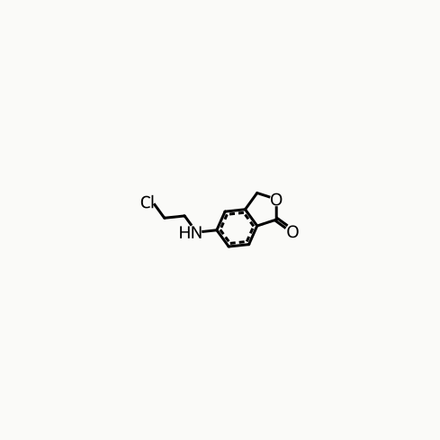 O=C1OCc2cc(NCCCl)ccc21